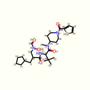 CN(C(=O)C(NC(=O)C(CC1CCCC1)CN(O)C=O)C(C)(C)C)C1CCN(C(=O)c2cccs2)CC1